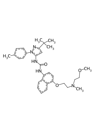 COCCN(C)CCOc1ccc(NC(=O)Nc2cc(C(C)(C)C)nn2-c2ccc(C)cc2)c2ccccc12